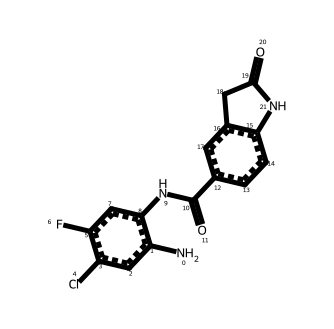 Nc1cc(Cl)c(F)cc1NC(=O)c1ccc2c(c1)CC(=O)N2